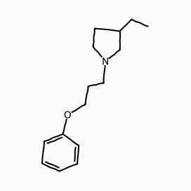 CCC1CCN(CCCOc2ccccc2)C1